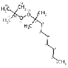 CCCCCCCC(C)(C)OOC(C)(C)C